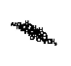 CC(=O)O[C@H]1CC[C@@]2(C)[C@@H](CC[C@@H]3[C@@H]2CC(=O)[C@]2(C)[C@@H]4[C@H](C[C@@H]32)O[C@]2(CC[C@@H](C)CO2)[C@H]4C)C1